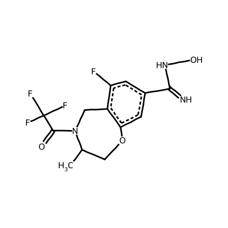 CC1COc2cc(C(=N)NO)cc(F)c2CN1C(=O)C(F)(F)F